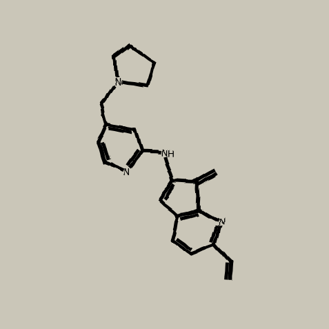 C=Cc1ccc2c(n1)C(=C)C(Nc1cc(CN3CCCC3)ccn1)=C2